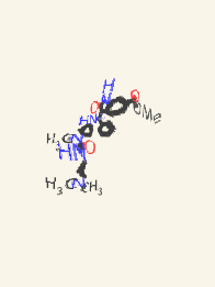 COC(=O)c1ccc2c(c1)NC(=O)/C2=C(\Nc1ccc(N(C)C(=O)NCCCN(C)C)cc1)c1ccccc1